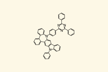 c1ccc(-c2nc(-c3ccccc3)nc(-c3ccc(N4c5ccccc5-c5ccccc5-c5cc6c(cc54)c4ccccc4n6-c4ccccc4)cc3)n2)cc1